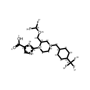 O=C(O)c1cnc(N2CCN(CC3CCC(C(F)(F)F)CC3)CC2COC(F)F)s1